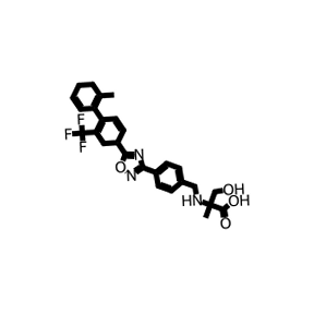 CC1=C(C2=C(C(F)(F)F)CC(c3nc(-c4ccc(CNC(C)(CO)C(=O)O)cc4)no3)C=C2)C=CCC1